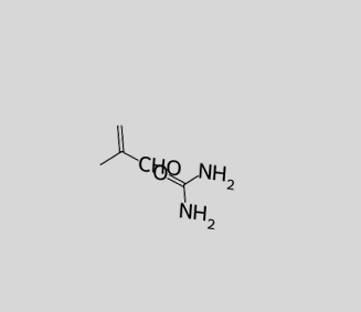 C=C(C)C=O.NC(N)=O